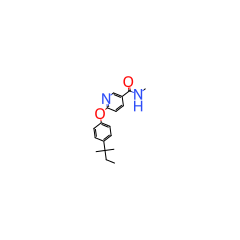 CCC(C)(C)c1ccc(Oc2ccc(C(=O)NC)cn2)cc1